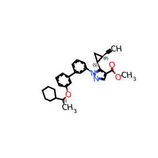 C#C[C@@H]1C[C@@H]1c1c(C(=O)OC)cnn1-c1cccc(-c2cccc(O[C@@H](C)C3CCCCC3)c2)c1